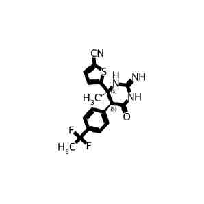 CC(F)(F)c1ccc([C@@H]2C(=O)NC(=N)N[C@]2(C)c2ccc(C#N)s2)cc1